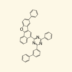 c1ccc(-c2cccc(-c3nc(-c4ccccc4)nc(-c4cc5c6cc(-c7ccccc7)ccc6oc5c5ccccc45)n3)c2)cc1